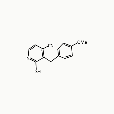 COc1ccc(Cc2c(C#N)ccnc2S)cc1